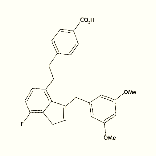 COc1cc(CC2=CCc3c(F)ccc(CCc4ccc(C(=O)O)cc4)c32)cc(OC)c1